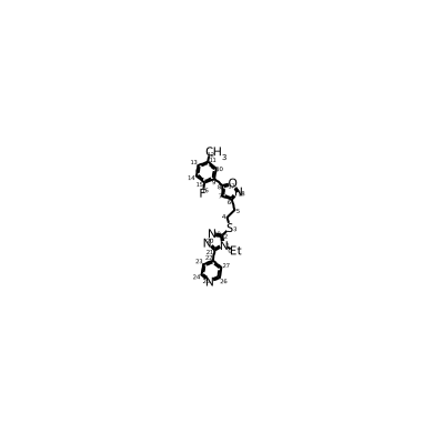 CCn1c(SCCc2cc(-c3cc(C)ccc3F)on2)nnc1-c1ccncc1